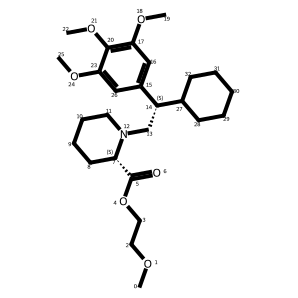 COCCOC(=O)[C@@H]1CCCCN1C[C@H](c1cc(OC)c(OC)c(OC)c1)C1CCCCC1